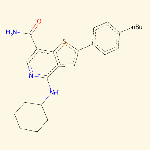 CCCCc1ccc(-c2cc3c(NC4CCCCC4)ncc(C(N)=O)c3s2)cc1